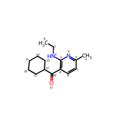 CCNc1nc(C)ccc1C(=O)C1CCCCC1